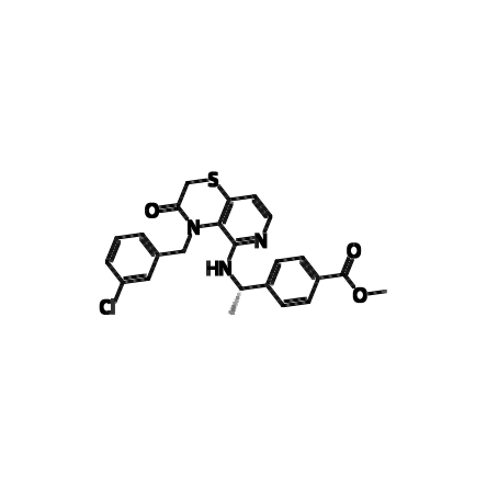 COC(=O)c1ccc([C@H](C)Nc2nccc3c2N(Cc2cccc(Cl)c2)C(=O)CS3)cc1